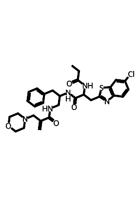 C=C(CN1CCOCC1)C(=O)NCC(Cc1ccccc1)NC(=O)C(Cc1nc2ccc(Cl)cc2s1)NC(=O)CC